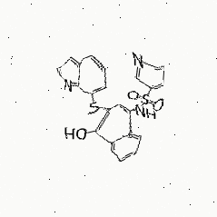 O=S(=O)(Nc1cc(Sc2cccc3cccnc23)c(O)c2ccccc12)c1cccnc1